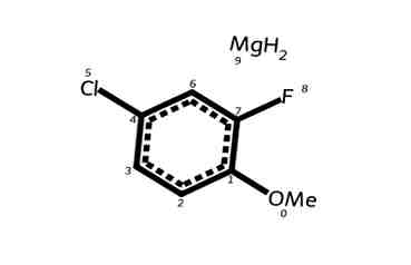 COc1ccc(Cl)cc1F.[MgH2]